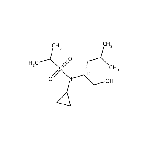 CC(C)C[C@H](CO)N(C1CC1)S(=O)(=O)C(C)C